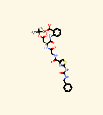 CC(C)(C)OC(=O)C[C@H](NC(=O)CNC(=O)c1csc(NC(=O)NCc2ccccc2)n1)C(=O)Nc1ccccc1C(=O)O